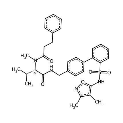 Cc1noc(NS(=O)(=O)c2ccccc2-c2ccc(CNC(=O)[C@H](C(C)C)N(C)C(=O)CCc3ccccc3)cc2)c1C